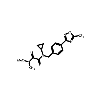 CON(C)C(=O)C(=O)N(Cc1ccc(-c2noc(C(F)(F)F)n2)cc1)C1CC1